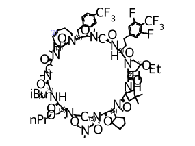 CCCOC[C@H]1C(=O)N[C@@H]([C@@H](C)CC)C(=O)N(C)CC(=O)N(C)[C@H]2C/C=C\CCN(C2=O)[C@@H](Cc2ccc(C(F)(F)F)cc2)C(=O)N(C)CC(=O)N[C@@H](CCc2cc(F)c(C(F)(F)F)c(F)c2)C(=O)N2C[C@H](OCC)C[C@H]2C(=O)NC2(CC(C)(C)C2)C(=O)N(C)[C@@H](C2CCCC2)C(=O)N(C)[C@H](C(=O)N(C)C)CC(=O)N1C